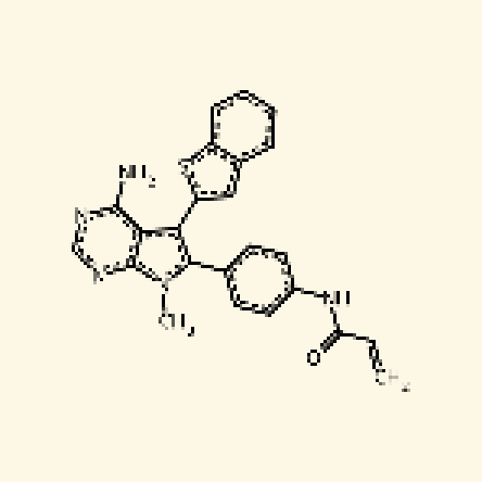 C=CC(=O)Nc1ccc(-c2c(-c3cc4ccccc4s3)c3c(N)ncnc3n2C)cc1